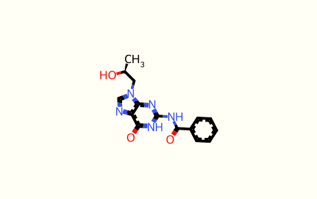 C[C@H](O)Cn1cnc2c(=O)[nH]c(NC(=O)c3ccccc3)nc21